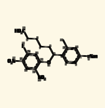 CCCCCCCCCc1ccc(C(CCCCC(=O)O)Oc2cc(F)c([N+](=O)[O-])cc2[N+](=O)[O-])c(C)c1